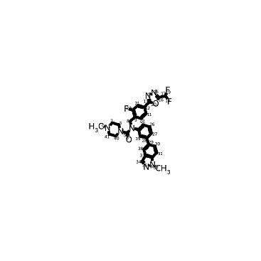 CN1CCN(C(=O)N(Cc2ccc(-c3nnc(C(F)F)o3)cc2F)c2cccc(-c3ccc4c(cnn4C)c3)c2)CC1